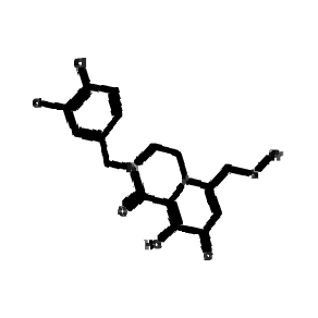 CC(C)SCc1cc(=O)c(O)c2n1CCN(Cc1ccc(Cl)c(Cl)c1)C2=O